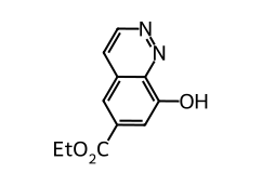 CCOC(=O)c1cc(O)c2nnccc2c1